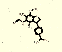 COc1c(C)c(NC=O)c(C)c2c1OCC2c1ccc(C(C)C)cc1